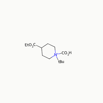 CCOC(=O)C1CC[N+](C(=O)O)(C(C)(C)C)CC1